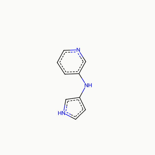 c1cncc(Nc2cc[nH]c2)c1